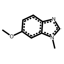 COc1ccc2n[c]n(C)c2c1